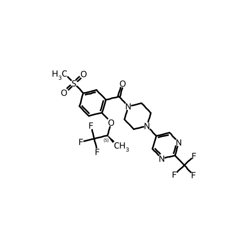 C[C@H](Oc1ccc(S(C)(=O)=O)cc1C(=O)N1CCN(c2cnc(C(F)(F)F)nc2)CC1)C(F)(F)F